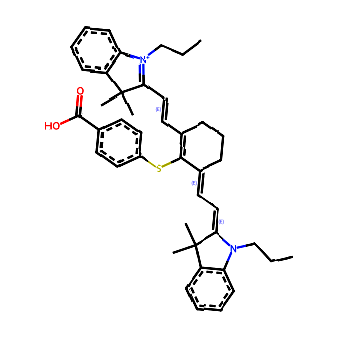 CCCN1/C(=C/C=C2\CCCC(/C=C/C3=[N+](CCC)c4ccccc4C3(C)C)=C2Sc2ccc(C(=O)O)cc2)C(C)(C)c2ccccc21